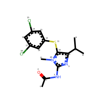 CC(=O)Nc1nc(C(C)C)c(Sc2cc(Cl)cc(Cl)c2)n1C